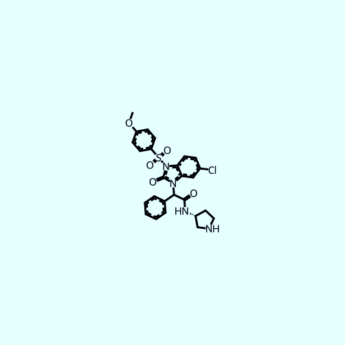 COc1ccc(S(=O)(=O)n2c(=O)n(C(C(=O)N[C@@H]3CCNC3)c3ccccc3)c3cc(Cl)ccc32)cc1